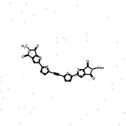 CCCCCCN1C(=O)c2cc(-c3ccc(C#Cc4ccc(-c5cc6c(s5)C(=S)N(C)C6=O)s4)s3)sc2C1=O